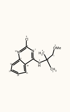 COCC(C)(C)Nc1nc(Cl)nc2ccccc12